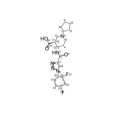 O=C(N[C@H]1CCN(C2CCCC2)C[C@@H]1C(=O)O)c1cn(-c2ccc(F)cc2F)nn1